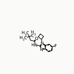 CC(C)(C)CC(=O)Nc1nc2ccc(F)cc2n1C1CCC1